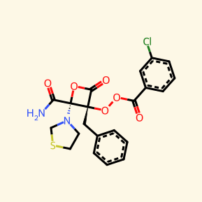 NC(=O)[C@@]1(N2CCSC2)OC(=O)[C@]1(Cc1ccccc1)OOC(=O)c1cccc(Cl)c1